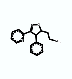 NCCC1ON=C(c2ccccn2)C1c1ccccc1